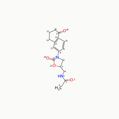 CC(=O)NCC1CN(c2ccc3c(c2)CCCC3=O)C(=O)O1